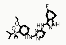 CCOc1ccc(Nc2nccc(Nc3n[nH]c4ccc(F)cc34)n2)cc1S(=O)(=O)C(C)C